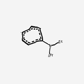 CCCN(CC)c1cc[c]cc1